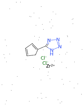 C1=CCC(c2nnn[nH]2)=C1.[Cl-].[Cl-].[Zr+2]